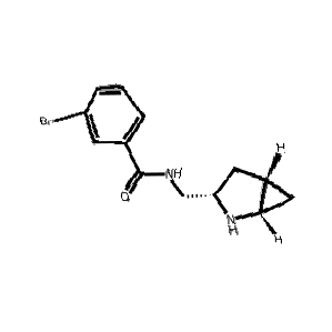 O=C(NC[C@@H]1C[C@@H]2C[C@@H]2N1)c1cccc(Br)c1